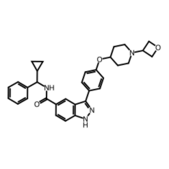 O=C(NC(c1ccccc1)C1CC1)c1ccc2[nH]nc(-c3ccc(OC4CCN(C5COC5)CC4)cc3)c2c1